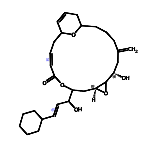 C=C1CCCC2CC=CC(C/C=C\C(=O)OC(C(O)/C=C/C3CCCCC3)C[C@@H]3OC3[C@@H](O)C1)O2